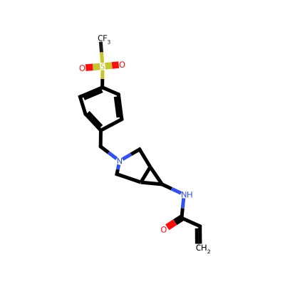 C=CC(=O)NC1C2CN(Cc3ccc(S(=O)(=O)C(F)(F)F)cc3)CC21